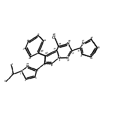 CC(C)n1ccc(-c2cn3nc(-c4ccccn4)nc(Cl)c3c2-c2ccccc2)n1